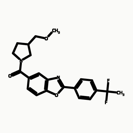 COCC1CCN(C(=O)c2ccc3oc(-c4ccc(C(C)(F)F)cc4)nc3c2)C1